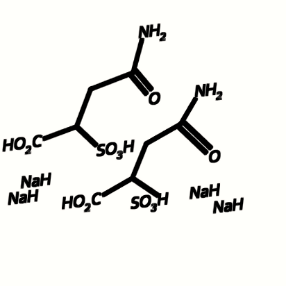 NC(=O)CC(C(=O)O)S(=O)(=O)O.NC(=O)CC(C(=O)O)S(=O)(=O)O.[NaH].[NaH].[NaH].[NaH]